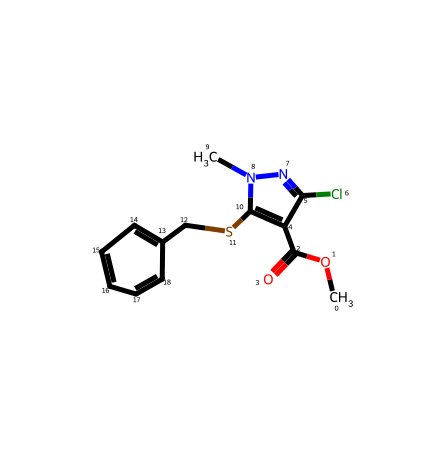 COC(=O)c1c(Cl)nn(C)c1SCc1ccccc1